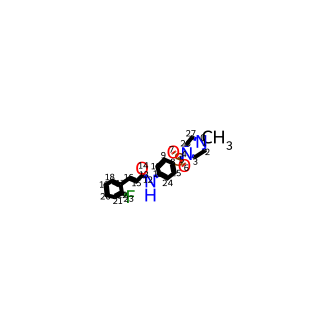 CN1CCN(S(=O)(=O)c2ccc(NC(=O)C=Cc3ccccc3F)cc2)CC1